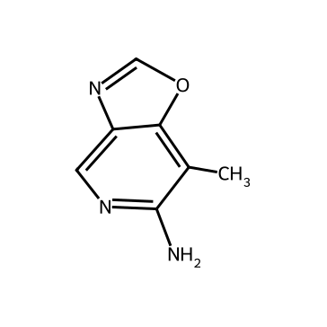 Cc1c(N)ncc2ncoc12